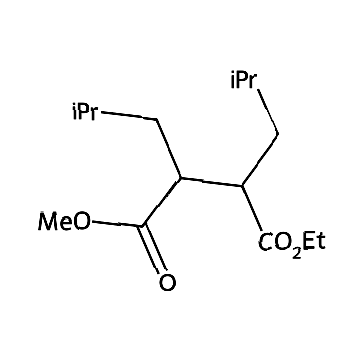 CCOC(=O)C(CC(C)C)C(CC(C)C)C(=O)OC